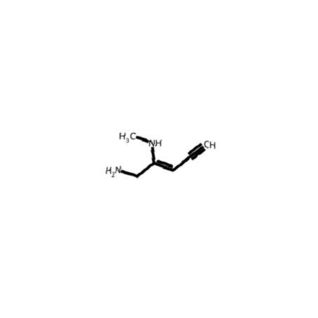 C#C/C=C(/CN)NC